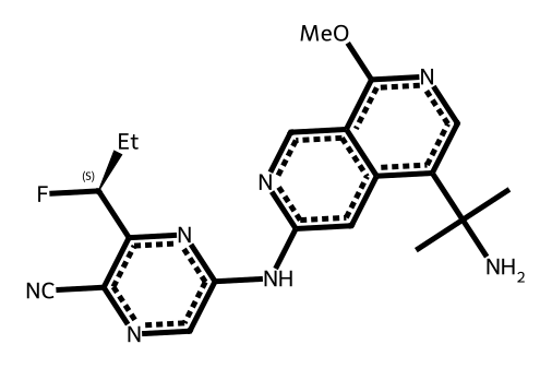 CC[C@H](F)c1nc(Nc2cc3c(C(C)(C)N)cnc(OC)c3cn2)cnc1C#N